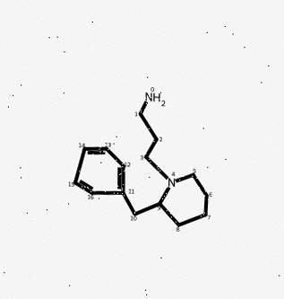 NCCCN1CCCCC1Cc1ccccc1